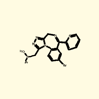 CC(C)N(O)Cc1nnc2n1-c1ccc(Br)cc1C(c1ccccn1)=NC2